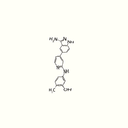 Cc1ccc(Nc2cc(-c3ccc4[nH]nc(N)c4c3)ccn2)cc1O